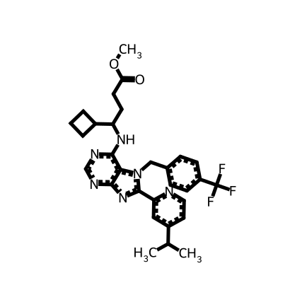 COC(=O)CCC(Nc1ncnc2nc(-c3cc(C(C)C)ccn3)n(Cc3ccc(C(F)(F)F)cc3)c12)C1CCC1